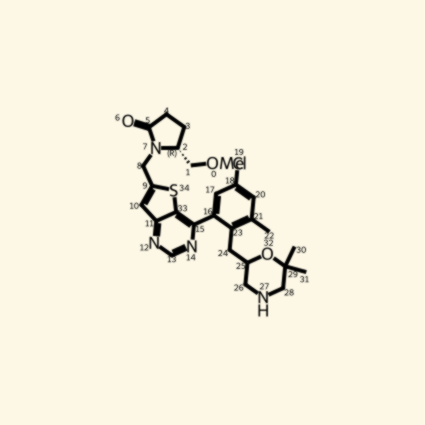 COC[C@H]1CCC(=O)N1Cc1cc2ncnc(-c3cc(Cl)cc(C)c3CC3CNCC(C)(C)O3)c2s1